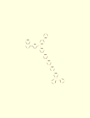 c1ccc(-c2ccc(N(c3ccc(-c4ccc(-c5ccc(-c6ccc(-c7ccc8c(c7)c7ccccc7n8-c7ccccc7)cc6)cc5)cc4)cc3)c3ccc(-c4cccc5ccccc45)cc3)cc2)cc1